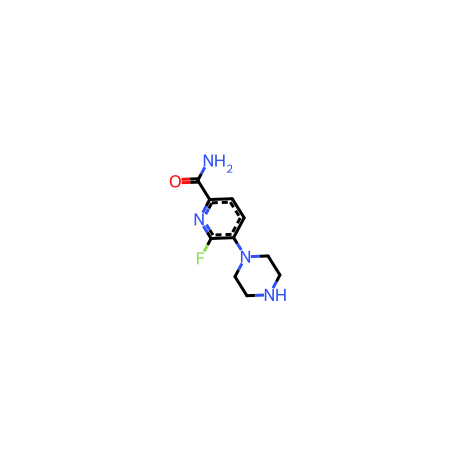 NC(=O)c1ccc(N2CCNCC2)c(F)n1